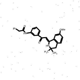 COc1ccc2c(c1)C(=CC(=O)c1cccc(NC(=O)CC(C)C)c1)NC(C)(C)C2